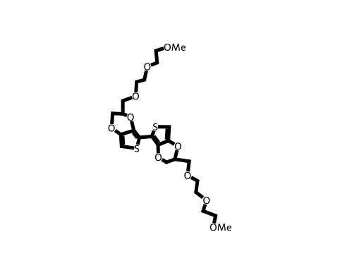 COCCOCCOCC1COc2c(csc2-c2scc3c2OC(COCCOCCOC)CO3)O1